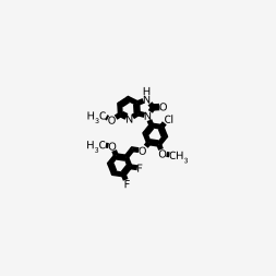 COc1ccc2[nH]c(=O)n(-c3cc(OCc4c(OC)ccc(F)c4F)c(OC)cc3Cl)c2n1